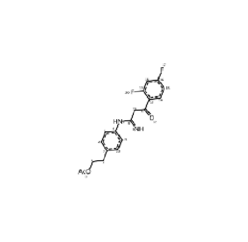 CC(=O)OCCc1ccc(NC(=N)CC(=O)c2ccc(F)cc2F)cc1